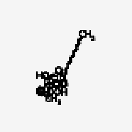 CCCCCCCCCCCCCCN(C(=O)SCC(=O)O)c1cccc2c(O)c(C(=O)Nc3ccccc3OC)ccc12